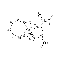 COC(=O)c1cc(OC)cc2c1CC1CCCCCC2(C)C1O